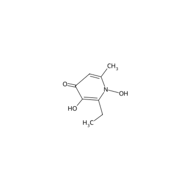 CCc1c(O)c(=O)cc(C)n1O